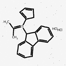 C[C](C)=[Ti]([C]1=CC=CC1)[CH]1c2ccccc2-c2ccccc21.Cl.Cl